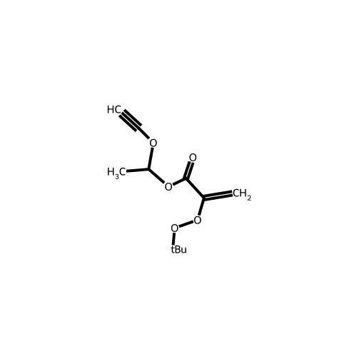 C#COC(C)OC(=O)C(=C)OOC(C)(C)C